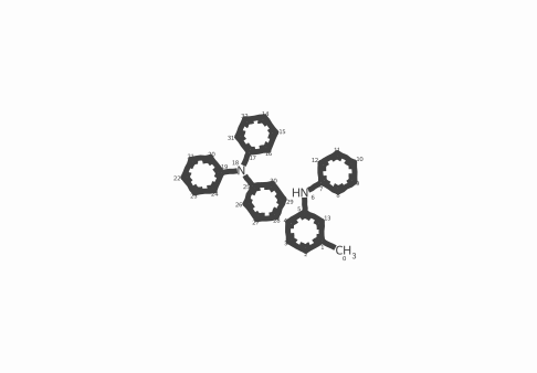 Cc1cccc(Nc2ccccc2)c1.c1ccc(N(c2ccccc2)c2ccccc2)cc1